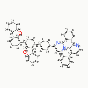 c1ccc(-c2nc(-c3ccc(-c4ccc(-c5cccc6c5oc5ccccc56)c5oc6ccccc6c45)cc3)cc(-c3ccccc3-c3ccncc3)n2)cc1